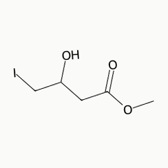 COC(=O)CC(O)CI